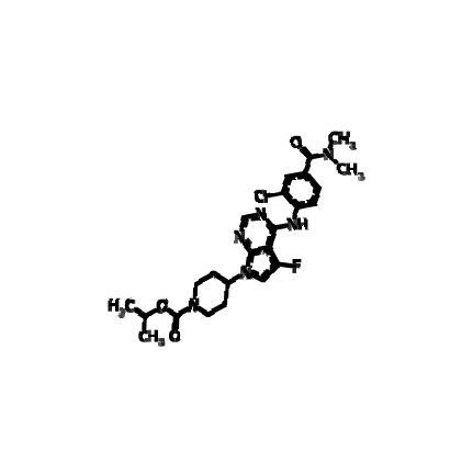 CC(C)OC(=O)N1CCC(n2cc(F)c3c(Nc4ccc(C(=O)N(C)C)cc4Cl)ncnc32)CC1